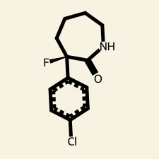 O=C1NCCCC[C@@]1(F)c1ccc(Cl)cc1